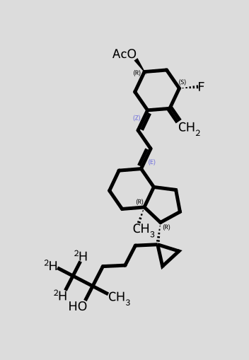 [2H]C([2H])([2H])C(C)(O)CCCC1([C@H]2CCC3/C(=C/C=C4/C[C@@H](OC(C)=O)C[C@H](F)C4=C)CCC[C@@]32C)CC1